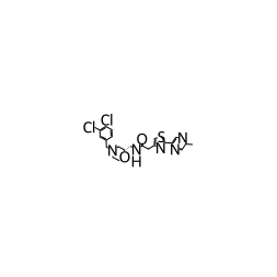 Cc1cnc(-c2nc(CC(=O)NC[C@H]3CN(Cc4ccc(Cl)c(Cl)c4)CCO3)cs2)cn1